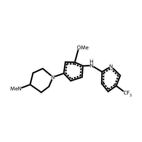 CNC1CCN(c2ccc(Nc3ccc(C(F)(F)F)cn3)c(OC)c2)CC1